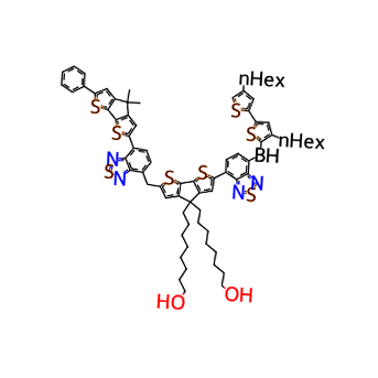 CCCCCCc1csc(-c2cc(CCCCCC)c(Bc3ccc(-c4cc5c(s4)-c4sc(Cc6ccc(-c7cc8c(s7)-c7sc(-c9ccccc9)cc7C8(C)C)c7nsnc67)cc4C5(CCCCCCCCO)CCCCCCCCO)c4nsnc34)s2)c1